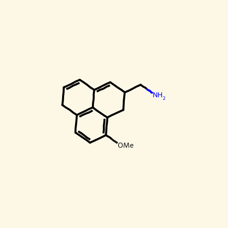 COc1ccc2c3c1CC(CN)C=C3C=CC2